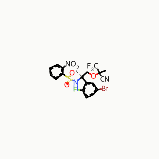 CC(C#N)(OC[C@](C)(NS(=O)(=O)c1ccccc1[N+](=O)[O-])c1cc(Br)ccc1F)C(F)(F)F